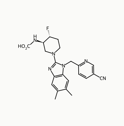 Cc1cc2nc(N3CC[C@@H](F)[C@H](NC(=O)O)C3)n(Cc3ccc(C#N)cn3)c2cc1C